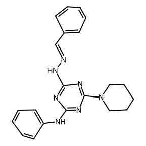 C(=NNc1nc(Nc2ccccc2)nc(N2CCCCC2)n1)c1ccccc1